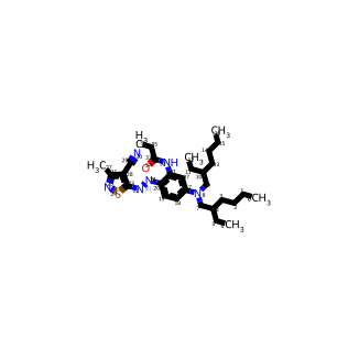 CCCCC(CC)CN(CC(CC)CCCC)c1ccc(/N=N/c2snc(C)c2C#N)c(NC(=O)CC)c1